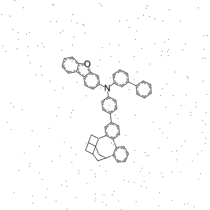 c1ccc(-c2cccc(N(c3ccc(-c4ccc5c(c4)C4CC6CC7CC(CC764)c4ccccc4-5)cc3)c3ccc4c(c3)oc3ccccc34)c2)cc1